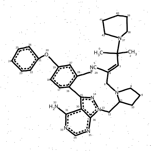 CC(C)(C=C(C#N)CN1CCCC1Cn1nc(-c2ccc(Oc3ccccc3)cc2F)c2c(N)ncnc21)N1CCCCC1